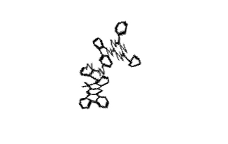 CC1(C)c2cc3c4ccccc4c4ccccc4c3cc2-c2ccc3c(c21)c1cccnc1n3-c1ccc2c(c1)c1ccccc1n2-c1nc(-c2ccccc2)nc(-c2ccccc2)n1